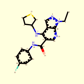 CCn1ncc2c(NC3CCSC3)c(C(=O)Nc3ccc(F)cc3)cnc21